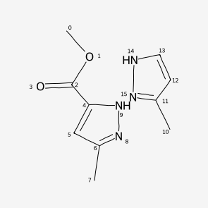 COC(=O)c1cc(C)n[nH]1.Cc1cc[nH]n1